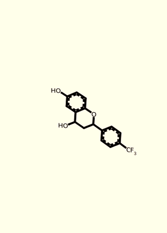 Oc1ccc2c(c1)C(O)CC(c1ccc(C(F)(F)F)cc1)O2